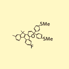 CSc1ccc(C2(c3ccc(SC)cc3)C=Cc3c4c(c5ccc(F)cc5c3O2)-c2ccc(C)cc2C4(C)C)cc1